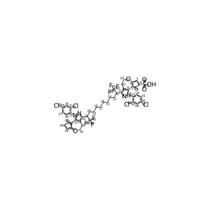 O=S(=O)(O)c1cc2c(s1)-c1c(c(C(CCCCCCCCC(c3nn(-c4ccc(Cl)cc4Cl)c4c3CCOc3ccsc3-4)C(F)(F)F)C(F)(F)F)nn1-c1ccc(Cl)cc1Cl)CCO2